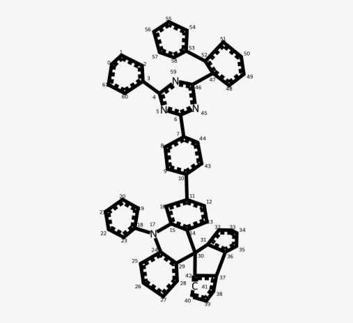 c1ccc(-c2nc(-c3ccc(-c4ccc5c(c4)N(c4ccccc4)c4ccccc4C54c5ccccc5-c5ccccc54)cc3)nc(-c3ccccc3-c3ccccc3)n2)cc1